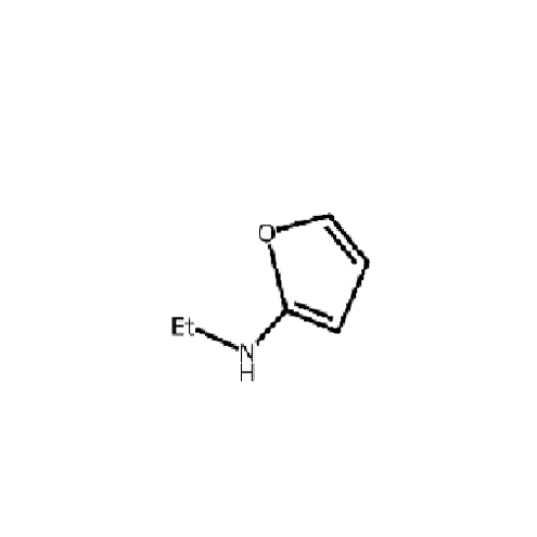 [CH2]CNc1ccco1